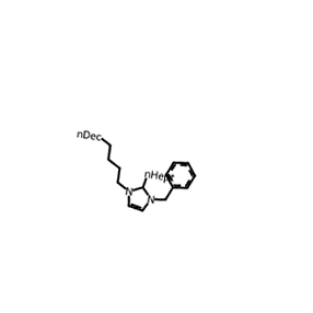 CCCCCCCCCCCCCCN1C=CN(Cc2ccccc2)C1CCCCCCC